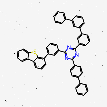 c1ccc(-c2ccc(-c3nc(-c4cccc(-c5cccc(-c6ccccc6)c5)c4)nc(-c4cccc(-c5cccc6c5sc5ccccc56)c4)n3)cc2)cc1